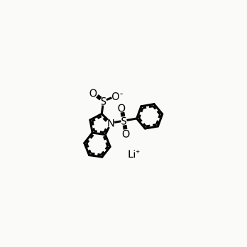 O=S([O-])c1cc2ccccc2n1S(=O)(=O)c1ccccc1.[Li+]